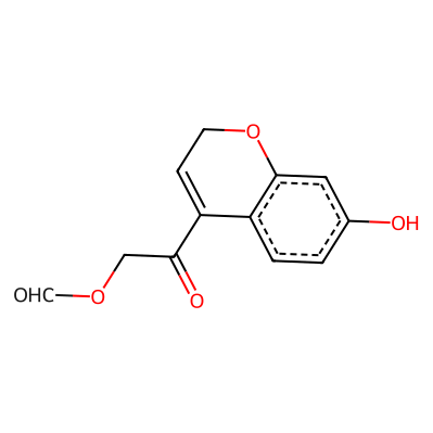 O=COCC(=O)C1=CCOc2cc(O)ccc21